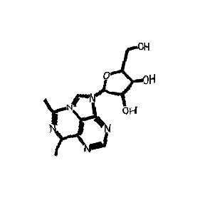 CC1=NC(C)c2ncnc3c2[n+]1cn3C1OC(CO)C(O)C1O